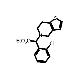 CCOC(=O)C(c1ccccc1Cl)N1CCc2sccc2C1